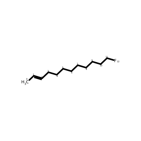 CC=CCCCCCCCCCF